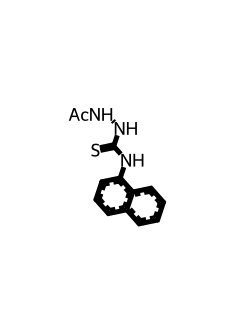 [CH2]C(=O)NNC(=S)Nc1cccc2ccccc12